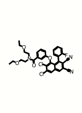 CCOCCN(CCOCC)C(=O)c1cccc(Oc2c(Cl)c(Cl)cc3cc(C#N)c(C#N)c(-c4ccccc4F)c23)c1